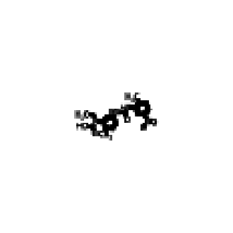 CCN(C(=O)O)c1cc(NC(=O)Nc2cc([N+](=O)[O-])ccc2C)ccc1C